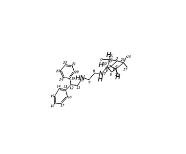 C[C@@H]1C2C[C@@H](C[C@H]1NCCNCC(c1ccccc1)c1ccccc1)C2(C)C